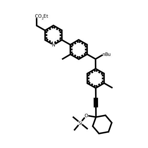 CCCCC(c1ccc(C#CC2(O[Si](C)(C)C)CCCCC2)c(C)c1)c1ccc(-c2ccc(CC(=O)OCC)cn2)c(C)c1